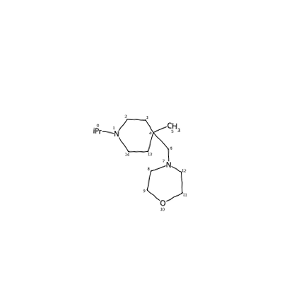 CC(C)N1CCC(C)(CN2CCOCC2)CC1